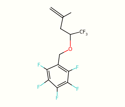 C=C(C)CC(OCc1c(F)c(F)c(F)c(F)c1F)C(F)(F)F